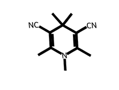 CC1=C(C#N)C(C)(C)C(C#N)=C(C)N1C